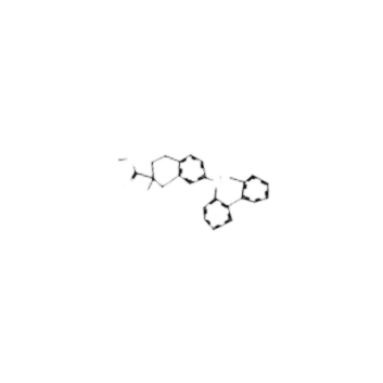 COC(=O)C1(C)CCc2ccc(Oc3ccccc3-c3ccccc3Cl)cc2C1